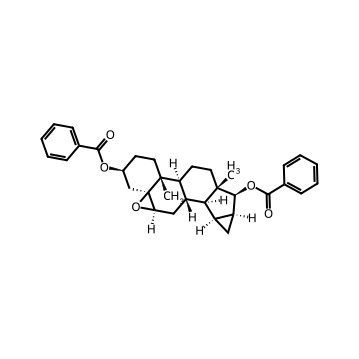 C[C@]12CC[C@H]3[C@@H](C[C@H]4O[C@]45C[C@@H](OC(=O)c4ccccc4)CC[C@]35C)[C@@H]1[C@@H]1C[C@@H]1[C@@H]2OC(=O)c1ccccc1